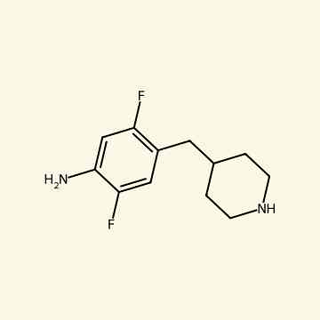 Nc1cc(F)c(CC2CCNCC2)cc1F